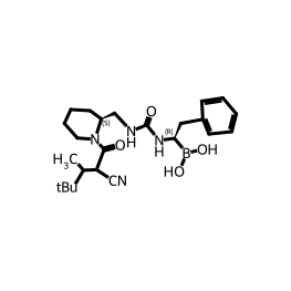 CC(C(C#N)C(=O)N1CCCC[C@H]1CNC(=O)N[C@@H](Cc1ccccc1)B(O)O)C(C)(C)C